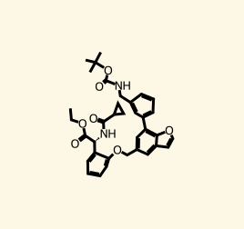 CCOC(=O)[C@H](NC(=O)C1CC1)c1ccccc1OCc1cc(-c2cccc(CNC(=O)OC(C)(C)C)c2)c2occc2c1